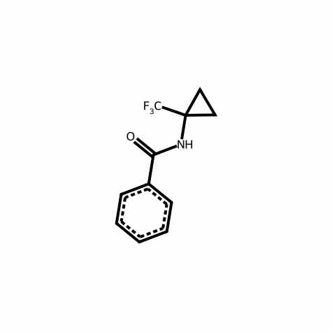 O=C(NC1(C(F)(F)F)CC1)c1ccccc1